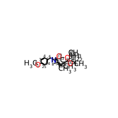 COc1ccc(CN2C[C@H]([C@@H](C)C(C)(C)C(O[SiH2]C)O[SiH2]C)C2=O)cc1